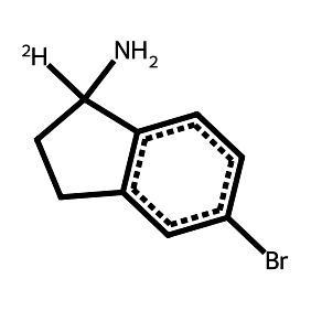 [2H]C1(N)CCc2cc(Br)ccc21